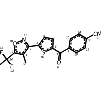 Cc1c(-c2ccc(C(=O)c3ccc(C#N)cc3)s2)noc1C(C)(F)F